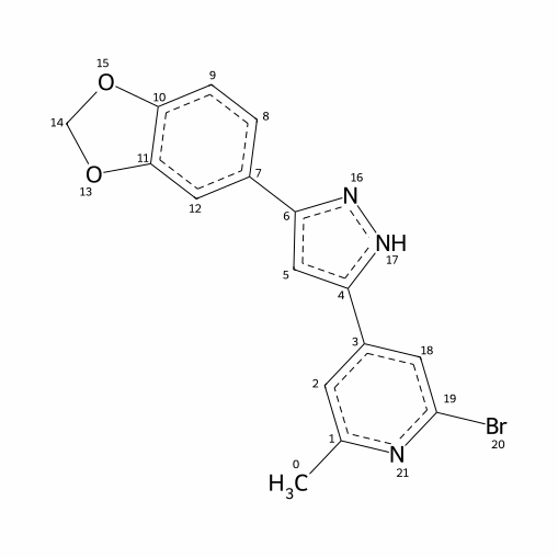 Cc1cc(-c2cc(-c3ccc4c(c3)OCO4)n[nH]2)cc(Br)n1